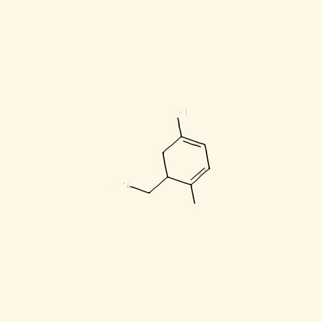 NCC1CC(O)=CC=C1I